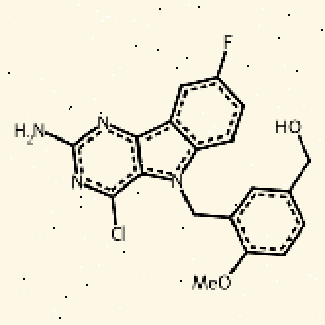 COc1ccc(CO)cc1Cn1c2ccc(F)cc2c2nc(N)nc(Cl)c21